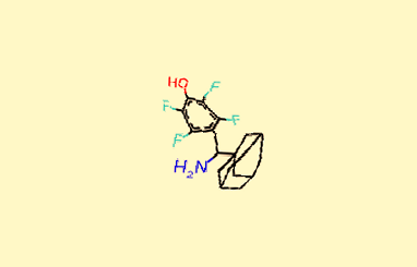 NC(c1c(F)c(F)c(O)c(F)c1F)C12CC3CC(CC(C3)C1)C2